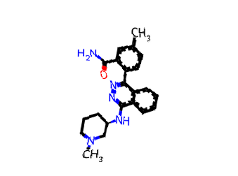 Cc1ccc(-c2nnc(N[C@@H]3CCCN(C)C3)c3ccccc23)c(C(N)=O)c1